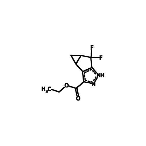 CCOC(=O)c1n[nH]c2c1C1CC1C2(F)F